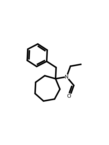 CCN(C=O)C1(Cc2ccccc2)CCCCCC1